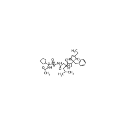 CCC1=CNC(Cc2ccccc2)(C2CN[C@](CC(=O)NNC(=O)[C@@H](NC(C)=O)C3CCCC3)(CC(C)C)C2=O)C1=O